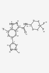 Cn1cc(-c2cc(F)c3[nH]nc(C(=O)NC4CCC(F)(F)CC4)c3c2)cn1